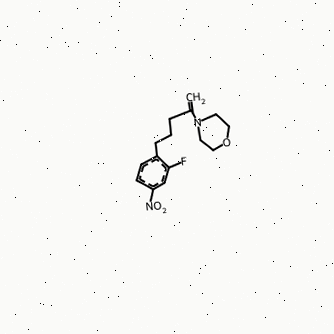 C=C(CCCc1ccc([N+](=O)[O-])cc1F)N1CCOCC1